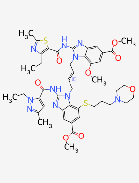 CCc1nc(C)sc1C(=O)Nc1nc2cc(C(=O)OC)cc(OC)c2n1C/C=C/Cn1c(NC(=O)c2cc(C)nn2CC)nc2cc(C(=O)OC)cc(SCCCN3CCOCC3)c21